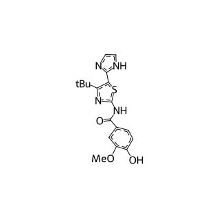 COc1cc(C(=O)Nc2nc(C(C)(C)C)c(-c3ncc[nH]3)s2)ccc1O